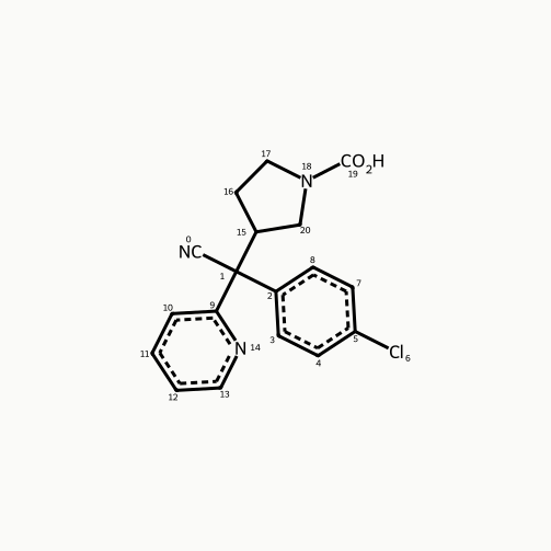 N#CC(c1ccc(Cl)cc1)(c1ccccn1)C1CCN(C(=O)O)C1